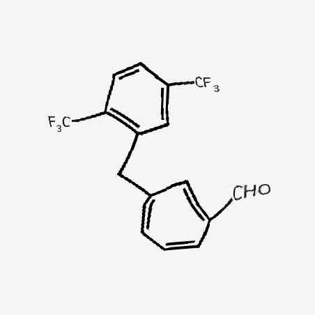 O=Cc1cccc(Cc2cc(C(F)(F)F)ccc2C(F)(F)F)c1